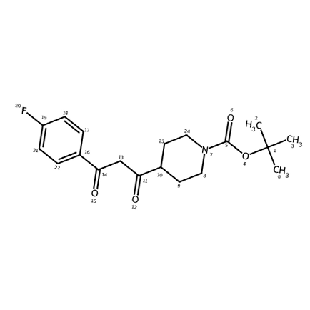 CC(C)(C)OC(=O)N1CCC(C(=O)CC(=O)c2ccc(F)cc2)CC1